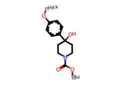 CCCCCCOc1ccc(C2(O)CCN(C(=O)OC(C)(C)C)CC2)cc1